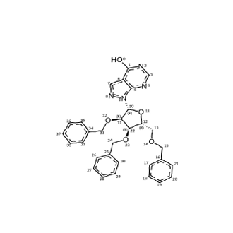 Oc1ncnc2c1cnn2[C@@H]1O[C@H](COCc2ccccc2)[C@@H](OCc2ccccc2)[C@H]1OCc1ccccc1